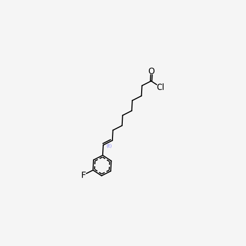 O=C(Cl)CCCCCCC/C=C/c1cccc(F)c1